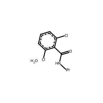 CC(C)NC(=O)c1c(Cl)cccc1Cl.O